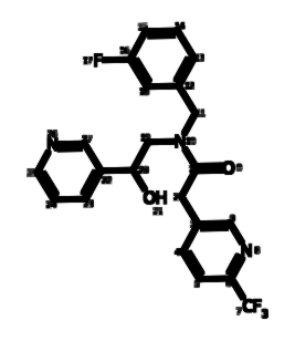 O=C(Cc1ccc(C(F)(F)F)nc1)N(Cc1cccc(F)c1)CC(O)c1cccnc1